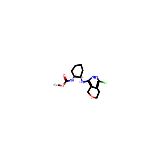 CC(C)(C)OC(=O)N[C@@H]1CCCC[C@H]1Nc1nnc(Cl)c2c1COCC2